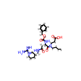 CCCCN(CCC(=O)O)C(=O)[C@H](CC(=O)NC[C@@H]1CCCN(C(=N)N)C1)NC(=O)OCc1ccccc1